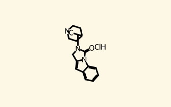 Cl.O=C1N(C2CN3CCC2CC3)Cc2cc3ccccc3n21